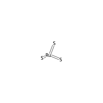 [S]=[Ru](=[S])=[S]